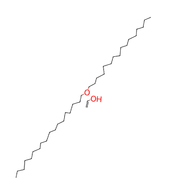 C=CO.CCCCCCCCCCCCCCCCCCOCCCCCCCCCCCCCCCC